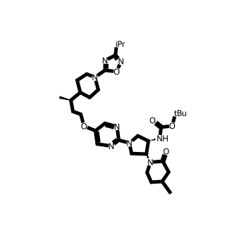 CC1CCN([C@@H]2CN(c3ncc(OCC[C@@H](C)C4CCN(c5nc(C(C)C)no5)CC4)cn3)C[C@@H]2NC(=O)OC(C)(C)C)C(=O)C1